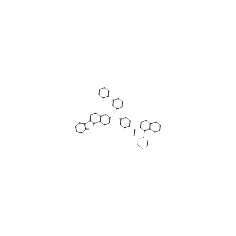 C1=CC2C=C(c3ccc(N(c4cccc(-c5ccccc5)c4)c4ccc5c(ccc6c7ccccc7oc56)c4)cc3)c3ccc4ccccc4c3C2C=C1